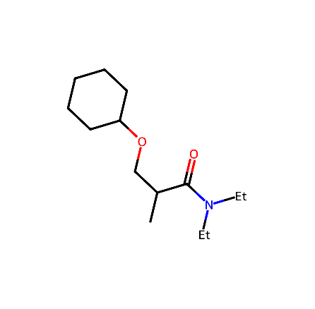 CCN(CC)C(=O)C(C)COC1CCCCC1